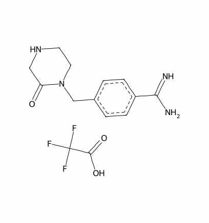 N=C(N)c1ccc(CN2CCNCC2=O)cc1.O=C(O)C(F)(F)F